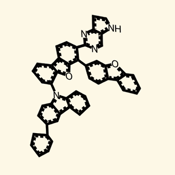 c1ccc(-c2ccc3c(c2)c2ccccc2n3-c2cccc3c2oc2c(-c4ccc5c(c4)oc4ccccc45)c(-c4ncc5[nH]ccc5n4)ccc23)cc1